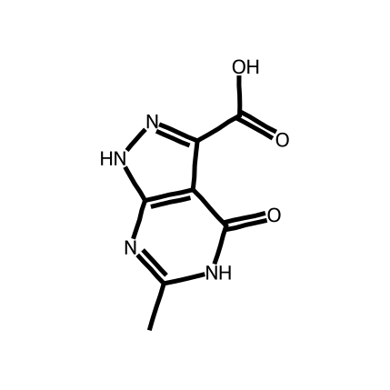 Cc1nc2[nH]nc(C(=O)O)c2c(=O)[nH]1